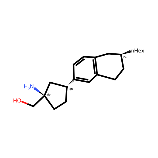 CCCCCC[C@H]1CCc2cc([C@@H]3CC[C@](N)(CO)C3)ccc2C1